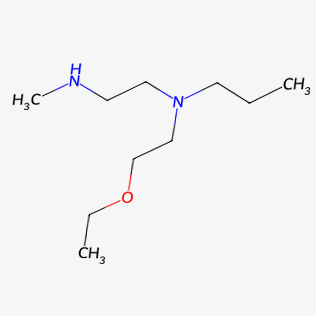 CCCN(CCNC)CCOCC